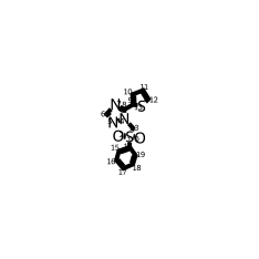 O=S(=O)(Cn1ncnc1-c1cccs1)c1ccccc1